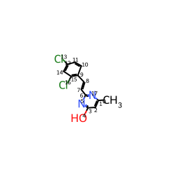 Cc1cc(O)nc(C=Cc2ccc(Cl)cc2Cl)n1